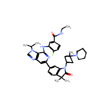 CCNC(=O)c1ccc(F)c(Nc2nc(-c3ccc4c(c3)N(C3CC(C)(N5CCCCC5)C3)C(=O)C4(C)C)cc3ncn(C(C)C)c23)c1